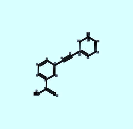 O=C(O)c1cccc(C#CC2=CC=CNC2)c1